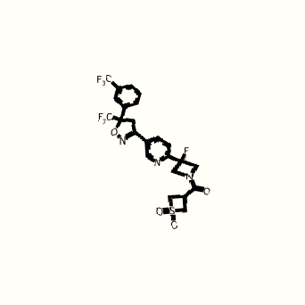 O=C(C1CS(=O)(=O)C1)N1CC(F)(c2ccc(C3=NOC(c4cccc(C(F)(F)F)c4)(C(F)(F)F)C3)cn2)C1